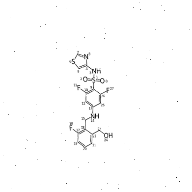 O=S(=O)(Nc1cscn1)c1c(F)cc(NCc2c(F)cccc2CO)cc1F